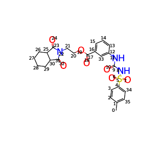 Cc1ccc(S(=O)(=O)NC(=O)Nc2cccc(C(=O)OCCN3C(=O)C4CCCCC4C3=O)c2)cc1